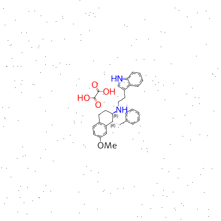 COc1ccc2c(c1)[C@@H](Cc1ccccc1)[C@H](NCCc1c[nH]c3ccccc13)CC2.O=C(O)C(=O)O